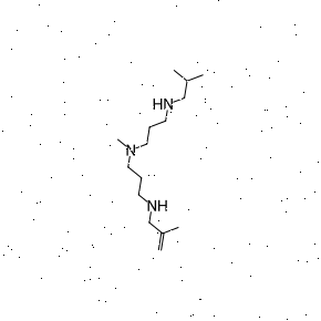 C=C(C)CNCCCN(C)CCCNCC(C)C